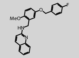 COc1ccc(OCc2ccc(F)cc2)cc1CNc1ccc2ccccc2n1